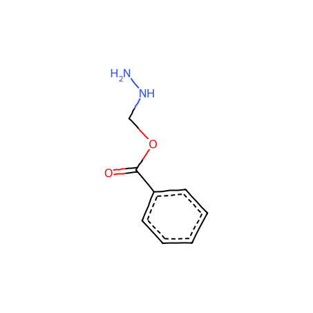 NNCOC(=O)c1ccccc1